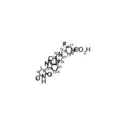 Cn1nc(C2CCC(=O)NC2=O)c2cccc(N3CCN(C[C@H]4CCN(C(=O)O)C[C@@H]4F)CC3)c21